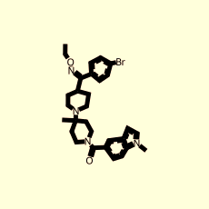 CCON=C(c1ccc(Br)cc1)C1CCN(C2(C)CCN(C(=O)c3ccc4c(ccn4C)c3)CC2)CC1